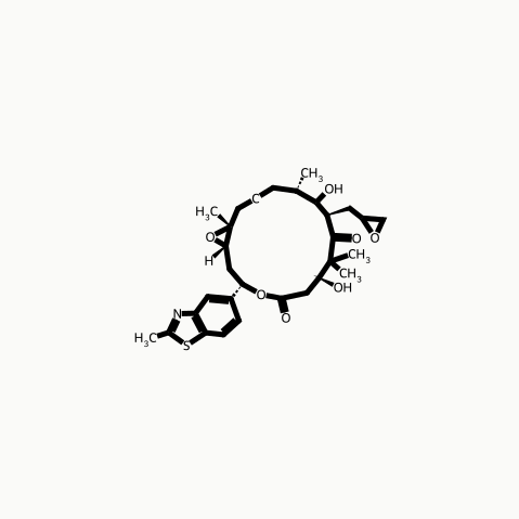 Cc1nc2cc([C@@H]3C[C@@H]4O[C@]4(C)CCC[C@H](C)C(O)[C@@H](CC4CO4)C(=O)C(C)(C)[C@@H](O)CC(=O)O3)ccc2s1